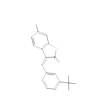 O=C1Nc2cc(Cl)ccc2C1=Cc1cccc(C(F)(F)F)c1